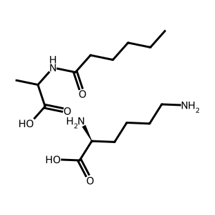 CCCCCC(=O)NC(C)C(=O)O.NCCCC[C@H](N)C(=O)O